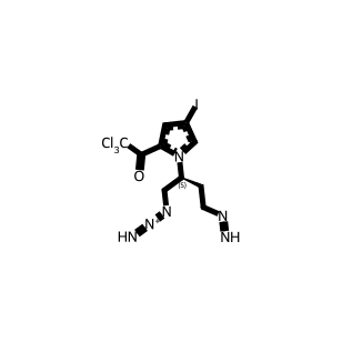 N=NCC[C@@H](CN=[N+]=N)n1cc(I)cc1C(=O)C(Cl)(Cl)Cl